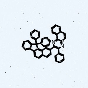 c1ccc(-c2nc3ccc4ccccc4c3nc2-c2ccc3ccc4c(c3c2)C(c2ccccc2)(c2ccccc2)c2ccccc2-4)cc1